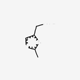 Cc1nc(CC(=O)O)co1